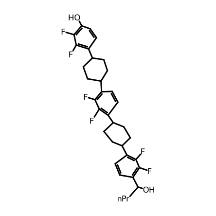 CCCC(O)c1ccc(C2CCC(c3ccc(C4CCC(c5ccc(O)c(F)c5F)CC4)c(F)c3F)CC2)c(F)c1F